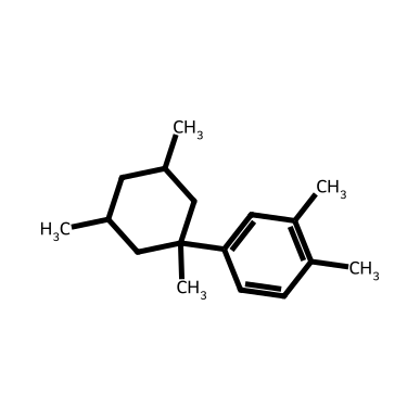 Cc1ccc(C2(C)CC(C)CC(C)C2)cc1C